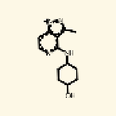 Cc1n[nH]c2ccnc(NC3CCC(O)CC3)c12